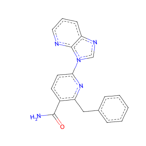 NC(=O)c1ccc(-n2cnc3cccnc32)nc1Cc1ccccc1